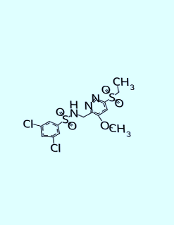 CCS(=O)(=O)c1cc(OC)c(CNS(=O)(=O)c2cc(Cl)cc(Cl)c2)nn1